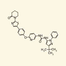 CC(C)(C)c1cc(NC(=O)Nc2ccc(Oc3ccc(-c4cnc(N5CCCCC5=O)s4)cc3)nc2)n(-c2ccccc2)n1